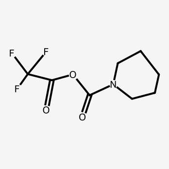 O=C(OC(=O)C(F)(F)F)N1CCCCC1